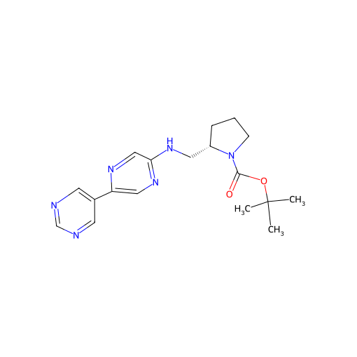 CC(C)(C)OC(=O)N1CCC[C@H]1CNc1cnc(-c2cncnc2)cn1